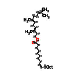 CCCCCCCC/C=C\CCCCCCCC(=O)OCC/C(C)=C/C/C=C(\C)CCC=C(C)C